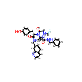 O=C1[C@H](Cc2ccc(O)cc2)N2C(=O)CN(CF)N(C(=O)NCc3ccccc3)[C@H]2CN1Cc1ccc2cccnc2c1